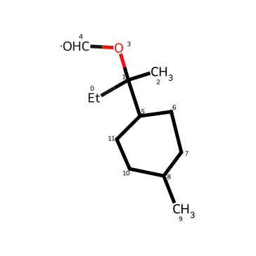 CCC(C)(O[C]=O)C1CCC(C)CC1